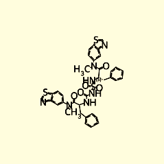 CN(C(=O)C(Cc1ccccc1)NC(=O)NS(=O)(=O)N[C@@H](Cc1ccccc1)C(=O)N(C)c1ccc2scnc2c1)c1ccc2scnc2c1